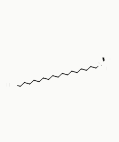 C=C[N+](C)(C)CCCCCCCCCCCCCCCCCC.[Cl-]